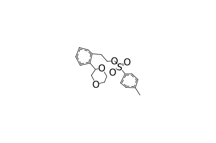 Cc1ccc(S(=O)(=O)OCCc2ccccc2C2COCCO2)cc1